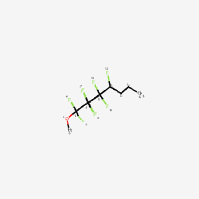 CCOC(F)(F)C(F)(F)C(F)(F)C(F)CCC(F)(F)F